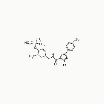 CCn1nc(-c2ccc(C(C)(C)C)cc2)cc1C(=O)NCC1C=CC(OC(C)(C)C(=O)O)=C(C)C1